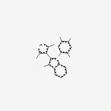 Cc1noc(C)c1-c1c(C#N)c2ccccc2n1-c1cc(F)c(O)cc1F